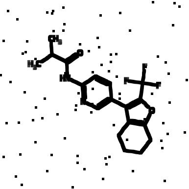 CC(C)C(=O)Nc1ccc(-c2c(C(F)(F)F)oc3c2CCCC3)cn1